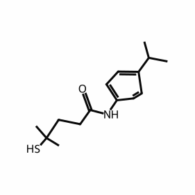 CC(C)c1ccc(NC(=O)CCC(C)(C)S)cc1